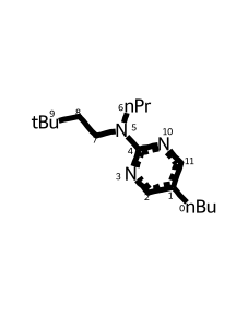 CCCCc1cnc(N(CCC)CCC(C)(C)C)nc1